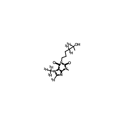 [2H]c1nc2c(c(=O)n(CCCC([2H])([2H])[C@@]([2H])(C)O)c(=O)n2C)n1C([2H])([2H])[2H]